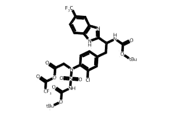 CC(C)(C)OC(=O)NC(Cc1ccc(N(CC(=O)OC(=O)C(F)(F)F)S(=O)(=O)NC(=O)OC(C)(C)C)c(Cl)c1)c1nc2cc(C(F)(F)F)ccc2[nH]1